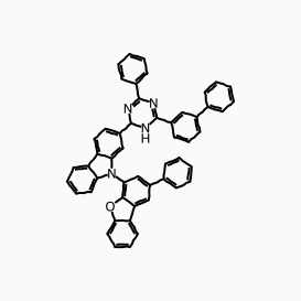 c1ccc(C2=NC(c3ccc4c5ccccc5n(-c5cc(-c6ccccc6)cc6c5oc5ccccc56)c4c3)NC(c3cccc(-c4ccccc4)c3)=N2)cc1